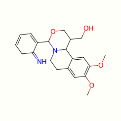 COc1cc2c(cc1OC)C1C(CO)COC(C3=CC=CCC3=N)N1CC2